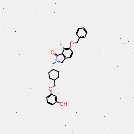 O=C1c2c(ccc(OCc3ccccc3)c2F)CN1C[C@H]1CC[C@H](COc2cccc(O)c2)CC1